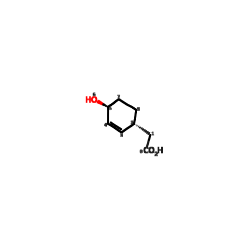 O=C(O)C[C@@H]1C=C[C@@H](O)CC1